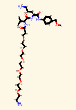 COCc1ccc(NC(=O)[C@H](CCCN)NC(=O)[C@@H](NC(=O)CCOCCOCCOCCOCCOCCOCCN)C(C)C)cc1